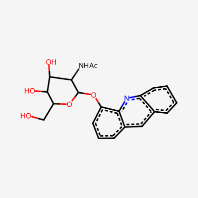 CC(=O)NC1C(Oc2cccc3cc4ccccc4nc23)OC(CO)C(O)C1O